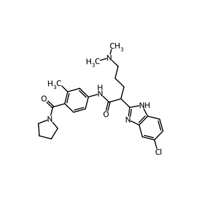 Cc1cc(NC(=O)C(CCCN(C)C)c2nc3cc(Cl)ccc3[nH]2)ccc1C(=O)N1CCCC1